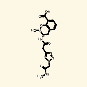 NNC(=O)Cn1nnc(CC(=O)N[C@H]2Cc3cccc(C(=O)O)c3OB2O)n1